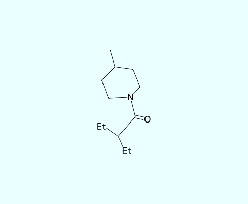 CCC(CC)C(=O)N1CCC(C)CC1